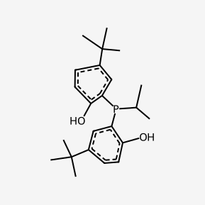 CC(C)P(c1cc(C(C)(C)C)ccc1O)c1cc(C(C)(C)C)ccc1O